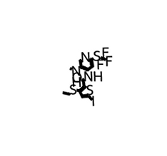 CCSc1cc(I)sc1C(=O)Nc1cc(SC(F)(F)F)ncc1NC